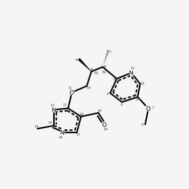 COc1ccc([C@@H](C)[C@H](C)COc2nc(C)ncc2C=O)nc1